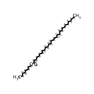 CCCCCCCCCCCCCCCCCCCCCCCCCCCCCC(=O)OCCCCCCCC